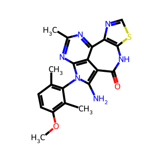 COc1ccc(C)c(-n2c(N)c3c4c(nc(C)nc42)-c2ncsc2NC3=O)c1C